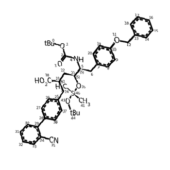 CC(C)(C)OC(=O)N[C@@H](Cc1ccc(OCc2ccccc2)cc1)[C@H](C[C@@H](Cc1ccc(-c2ccccc2C#N)cc1)C(=O)O)O[Si](C)(C)OC(C)(C)C